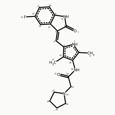 Cc1[nH]c(/C=C2\C(=O)Nc3ccc(F)cc32)c(C)c1NC(=O)CN1CCCC1